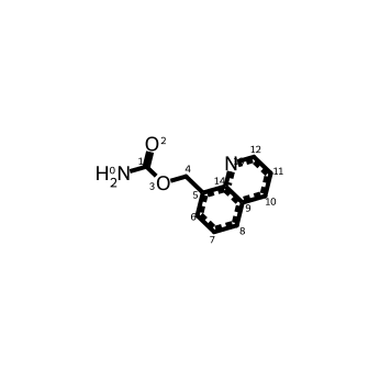 NC(=O)OCc1cccc2cccnc12